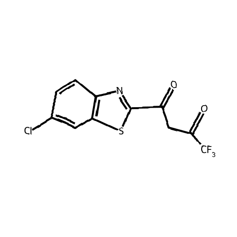 O=C(CC(=O)C(F)(F)F)c1nc2ccc(Cl)cc2s1